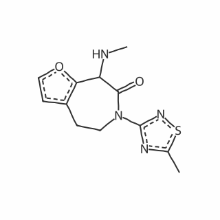 CNC1C(=O)N(c2nsc(C)n2)CCc2ccoc21